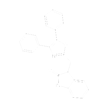 O=C1Nc2ccccc2C1Cc1nc(-c2ccccc2)c(-c2ccccc2)o1